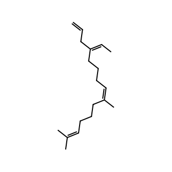 C=CCC(=CC)CCCC=C(C)CCCC=C(C)C